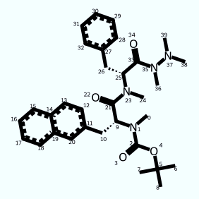 CN(C(=O)OC(C)(C)C)[C@H](Cc1ccc2ccccc2c1)C(=O)N(C)[C@H](Cc1ccccc1)C(=O)N(C)N(C)C